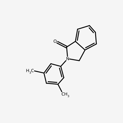 Cc1cc(C)cc(N2Cc3ccccc3C2=O)c1